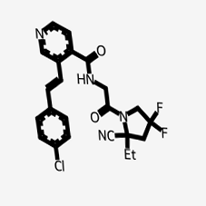 CCC1(C#N)CC(F)(F)CN1C(=O)CNC(=O)c1ccncc1C=Cc1ccc(Cl)cc1